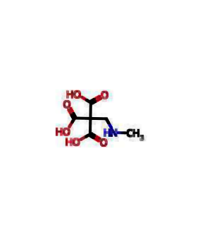 CNCC(C(=O)O)(C(=O)O)C(=O)O